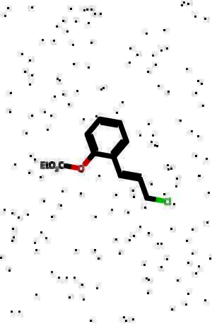 CCOC(=O)Oc1ccccc1C=CCCl